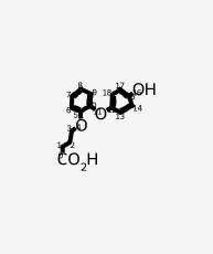 O=C(O)CCCOc1ccccc1Oc1ccc(O)cc1